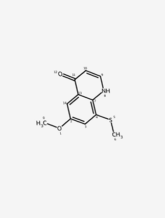 COc1cc(SC)c2[nH]ccc(=O)c2c1